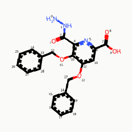 NNC(=O)c1nc(C(=O)O)cc(OCc2ccccc2)c1OCc1ccccc1